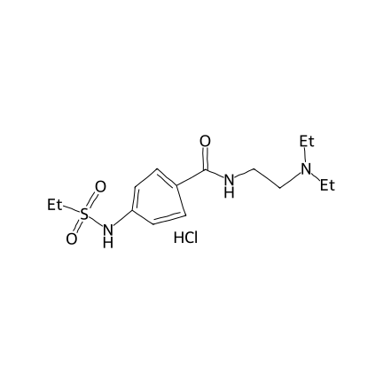 CCN(CC)CCNC(=O)c1ccc(NS(=O)(=O)CC)cc1.Cl